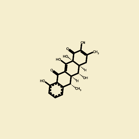 CC1=C(C#N)C(=O)[C@]2(O)C(O)=C3C(=O)c4c(O)cccc4[C@@H](C)[C@@H]3[C@@H](O)[C@@H]2C1